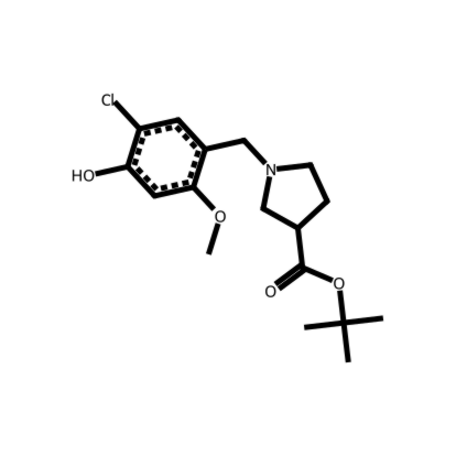 COc1cc(O)c(Cl)cc1CN1CCC(C(=O)OC(C)(C)C)C1